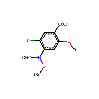 CCOc1cc(N(C=O)OC(C)(C)C)c(Cl)cc1C(=O)O